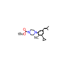 CC(C)=Cc1cc(C2CC2)c(C#N)c(N2CCN(C(=O)OC(C)(C)C)CC2)c1